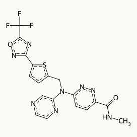 CNC(=O)c1ccc(N(Cc2ccc(-c3noc(C(F)(F)F)n3)s2)c2cnccn2)nn1